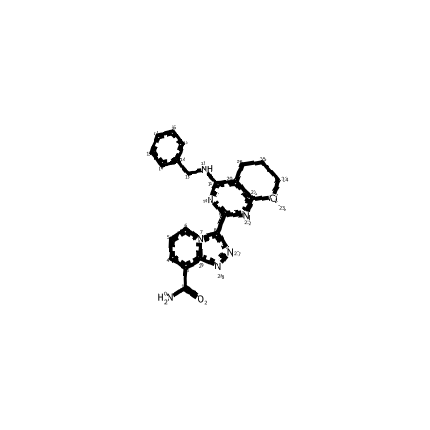 NC(=O)c1cccn2c(-c3nc(NCc4ccccc4)c4c(n3)OCCC4)nnc12